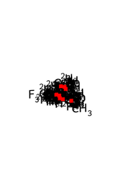 [2H]c1c([2H])c(F)c(F)c(CSc2c([2H])c(=O)c3c([2H])c(C)c([2H])c([2H])c3n2CC(=O)N(Cc2c([2H])c([2H])c(-c3c([2H])c([2H])c(C(F)(F)F)c([2H])c3[2H])c([2H])c2[2H])C2([2H])C([2H])([2H])C([2H])([2H])N(CC([2H])([2H])OC)C([2H])([2H])C2([2H])[2H])c1[2H]